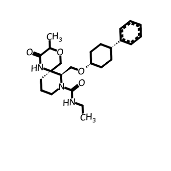 CCNC(=O)N1CCC[C@]2(COC(C)C(=O)N2)[C@H]1CO[C@H]1CC[C@@H](c2ccccc2)CC1